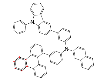 c1ccc(-c2ccccc2-c2c(-c3ccccc3)cccc2-c2cccc(N(c3cccc(-c4ccc5c(c4)c4ccccc4n5-c4ccccc4)c3)c3ccc4ccccc4c3)c2)cc1